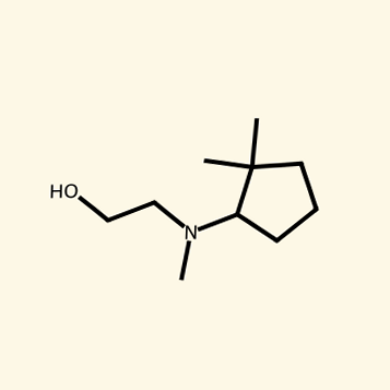 CN(CCO)C1CCCC1(C)C